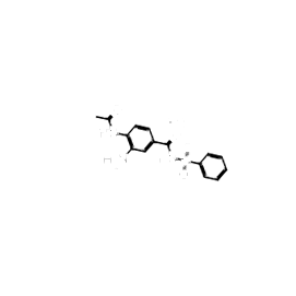 CC(=O)Nc1ccc(C(=O)NS(=O)(=O)c2ccccc2)cc1N.[KH]